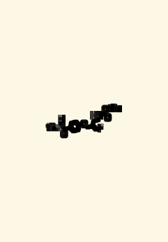 CC(C)(C)NC(=O)c1ccc(OC/C(=C/F)CCNC(=O)OC(C)(C)C)cc1